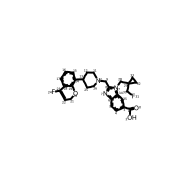 O=C(O)c1ccc2nc(CN3CCC(c4cccc5c4OCC=C5F)CC3)n(CC3(CF)CC3)c2c1